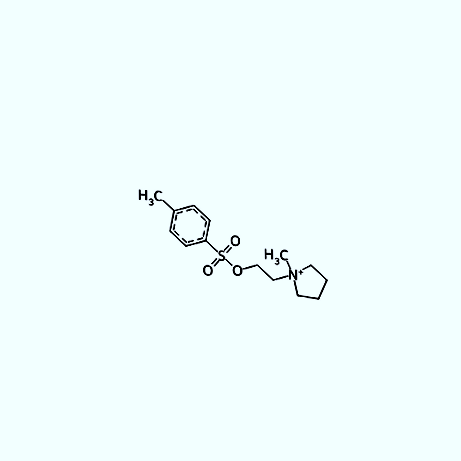 Cc1ccc(S(=O)(=O)OCC[N+]2(C)CCCC2)cc1